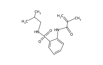 C=C(C)C(=O)Nc1ccccc1S(=O)(=O)NCC(C)C